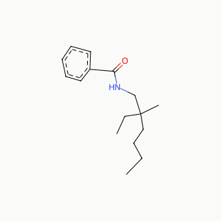 CCCCC(C)(CC)CNC(=O)c1ccccc1